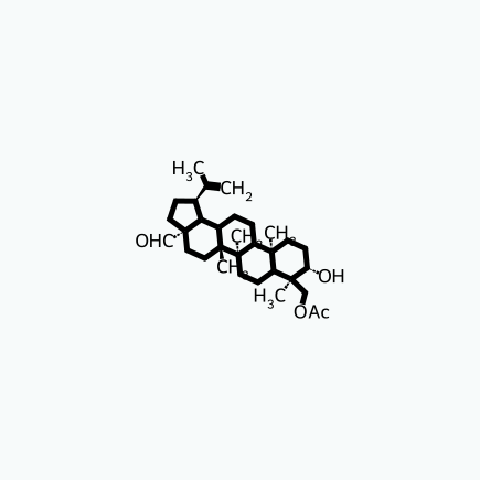 C=C(C)[C@@H]1CC[C@]2(C=O)CC[C@]3(C)C(CCC4[C@@]5(C)CC[C@H](O)[C@@](C)(COC(C)=O)C5CC[C@]43C)C12